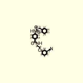 N#Cc1cccc(OCCNC(=O)c2ccc(NS(=O)(=O)Cc3ccccc3)cc2)c1